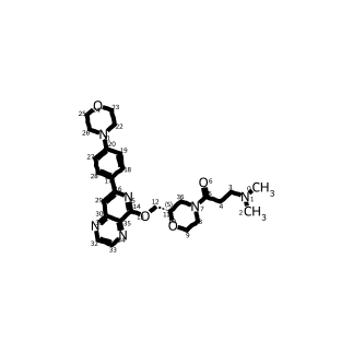 CN(C)CCC(=O)N1CCO[C@H](COc2nc(-c3ccc(N4CCOCC4)cc3)cc3nccnc23)C1